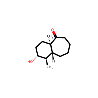 C[C@H]1[C@H](O)CC[C@@]2(C)C(=O)CCCC[C@H]12